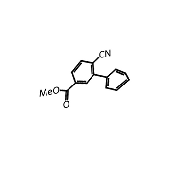 COC(=O)c1ccc(C#N)c(-c2ccccc2)c1